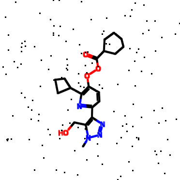 Cn1nnc(-c2ccc(OOC(=O)C3CCCCC3)c(C3CCC3)n2)c1CO